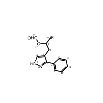 CC(C)C(Cc1c[nH]nc1-c1ccccc1)OC=O